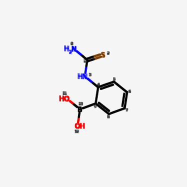 NC(=S)Nc1ccccc1B(O)O